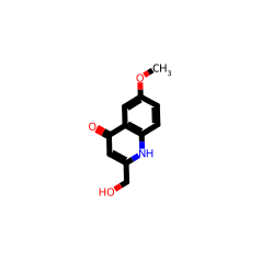 COc1ccc2[nH]c(CO)cc(=O)c2c1